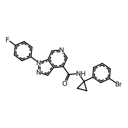 O=C(NC1(c2cccc(Br)c2)CC1)c1cncc2c1cnn2-c1ccc(F)cc1